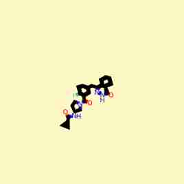 O=C(N[C@@H]1CCN(C(=O)c2cc(Cc3n[nH]c(=O)c4ccccc34)ccc2F)C1)C1CC1